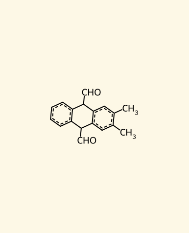 Cc1cc2c(cc1C)C(C=O)c1ccccc1C2C=O